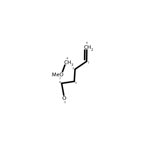 C=CCCC[O].COC